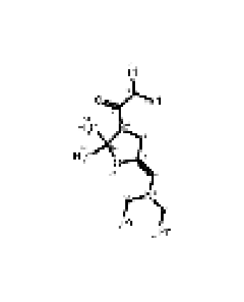 CC(C)CN(C=C1CN(C(=O)C(Cl)Cl)C(C)(C)O1)CC(C)C